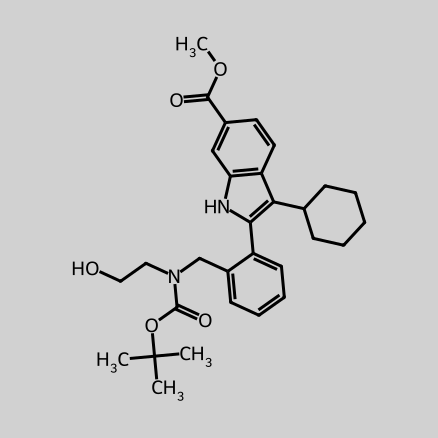 COC(=O)c1ccc2c(C3CCCCC3)c(-c3ccccc3CN(CCO)C(=O)OC(C)(C)C)[nH]c2c1